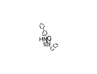 O=C(Nc1nc(-c2cccc3ccccc23)cs1)c1ccc(-c2ccccc2)cc1